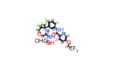 CC1(c2cc(NC(=O)c3ccc(OCC(F)(F)F)cn3)ccc2F)N=C(N)COCC1(F)F.O=CO